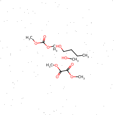 CCCCO.CO.COC(=O)C(=O)OC.COC(=O)OC